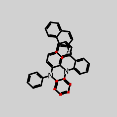 c1ccc(-c2ccccc2N(c2ccccc2)c2c(N(c3ccccc3)c3ccccc3)ccc3c2oc2ccc4ccccc4c23)cc1